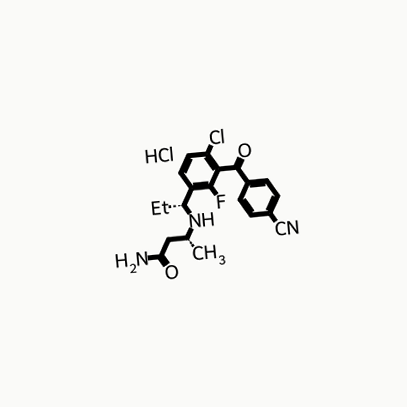 CC[C@@H](N[C@H](C)CC(N)=O)c1ccc(Cl)c(C(=O)c2ccc(C#N)cc2)c1F.Cl